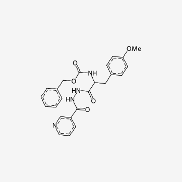 COc1ccc(CC(NC(=O)OCc2ccccc2)C(=O)NNC(=O)c2cccnc2)cc1